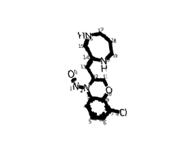 O=NN1c2cccc(Cl)c2OCC1CC1CNCCCN1